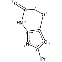 CC(C)c1nc2c(o1)OCC(=O)N2